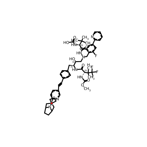 COC(=O)N[C@H](C(=O)N[C@@H](Cc1ccc(C#Cc2ccc(N3CC4CCC(C3)N4C3COC3)nc2)cc1)[C@@H](O)CN(Cc1c(F)cc(-c2ccccn2)cc1Cl)NC(=O)[C@@H](NC(=O)O)C(C)(C)C)C(C)(C)C(F)(F)F